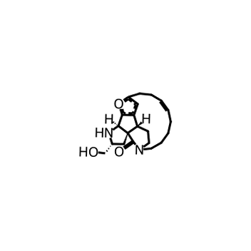 O=C1N2CCCC/C=C\CCc3cc4c(o3)[C@@H]3N[C@@H](CO)C[C@@]13[C@H]4CC2